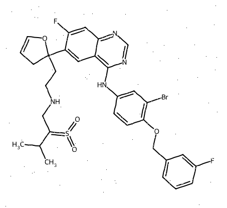 CC(C)C(CNCCC1(c2cc3c(Nc4ccc(OCc5cccc(F)c5)c(Br)c4)ncnc3cc2F)CC=CO1)=S(=O)=O